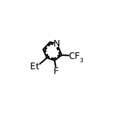 CCc1ccnc(C(F)(F)F)c1F